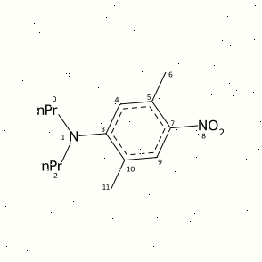 CCCN(CCC)c1cc(C)c([N+](=O)[O-])cc1C